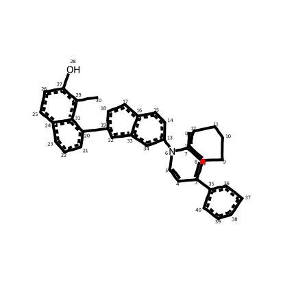 C=C/C=C(\C=C/N(C1=CCCCC1)c1ccc2ccc(-c3cccc4ccc(O)c(C)c34)cc2c1)c1ccccc1